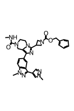 CNC(=O)N1CCn2c(C3CN(C(=O)OCc4ccccc4)C3)nc(-c3ccc4c(c3)c(-c3cnn(C)c3)nn4C)c2C1